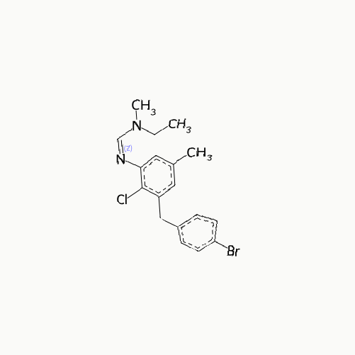 CCN(C)/C=N\c1cc(C)cc(Cc2ccc(Br)cc2)c1Cl